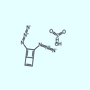 O=[SH](=O)O.[N-]=[N+]=Nc1c2ccc-2c1N=[N+]=[N-]